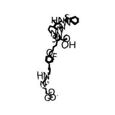 Cc1c(Nc2nc3ccccc3s2)nnc2c1CCCN2c1nc(C(=O)O)c(CCCOc2ccc(C#CCNCC[N+](C)(C)CCCS(=O)(=O)[O-])cc2F)s1